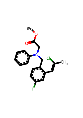 C/C(Cl)=C/c1cc(F)ccc1CN(CC(=O)OC(C)C)c1ccccc1